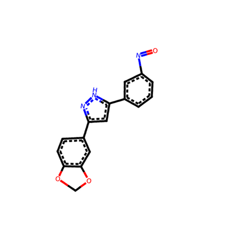 O=Nc1cccc(-c2cc(-c3ccc4c(c3)OCO4)n[nH]2)c1